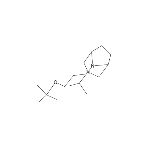 CC(C)N1CC2CCC(C1)N2CCCOC(C)(C)C